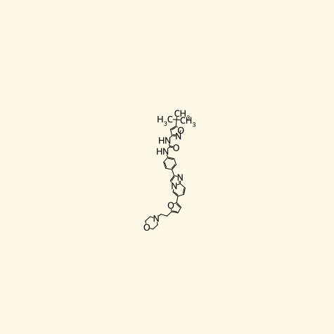 CC(C)(C)c1cc(NC(=O)Nc2ccc(-c3cn4cc(-c5ccc(CCN6CCOCC6)o5)ccc4n3)cc2)no1